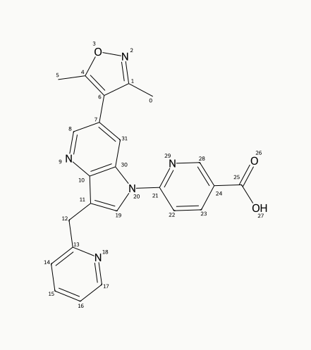 Cc1noc(C)c1-c1cnc2c(Cc3ccccn3)cn(-c3ccc(C(=O)O)cn3)c2c1